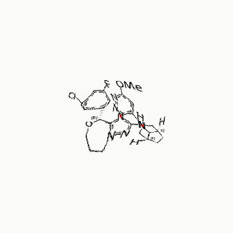 COc1cc(N2C[C@H]3CC[C@H](C2)C3Nc2nc3n(n2)CCCO[C@@H]3c2cc(F)cc(Cl)c2)cnn1